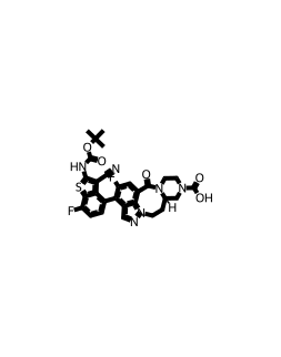 CC(C)(C)OC(=O)Nc1sc2c(F)ccc(-c3c(F)cc4c5c3cnn5CC[C@@H]3CN(C(=O)O)CCN3C4=O)c2c1C#N